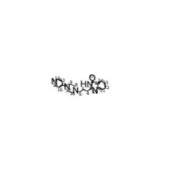 O=c1[nH]c(CCCN2CCN(c3ccncc3)CC2)nc2ccccc12